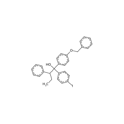 CCC(c1ccccc1)C(O)(c1ccc(I)cc1)c1ccc(OCc2ccccc2)cc1